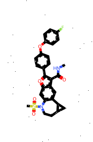 CNC(=O)c1c(-c2ccc(Oc3ccc(F)cc3)cc2)oc2cc3c(cc12)C1CC1CCN3S(C)(=O)=O